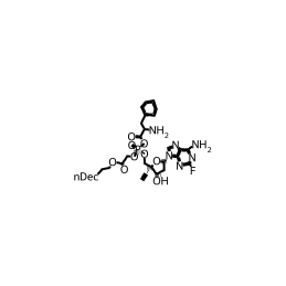 C#C[C@]1(CO[P@](=O)(OCC(=O)OCCCCCCCCCCCC)OC(=O)C(N)Cc2ccccc2)O[C@@H](n2cnc3c(N)nc(F)nc32)C[C@@H]1O